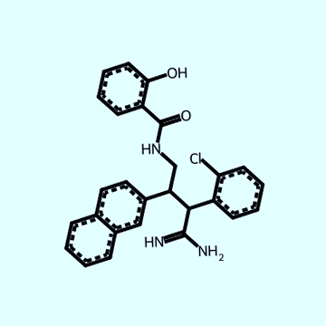 N=C(N)C(c1ccccc1Cl)C(CNC(=O)c1ccccc1O)c1ccc2ccccc2c1